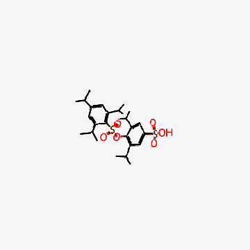 CC(C)c1cc(C(C)C)c(S(=O)(=O)Oc2c(C(C)C)cc(S(=O)(=O)O)cc2C(C)C)c(C(C)C)c1